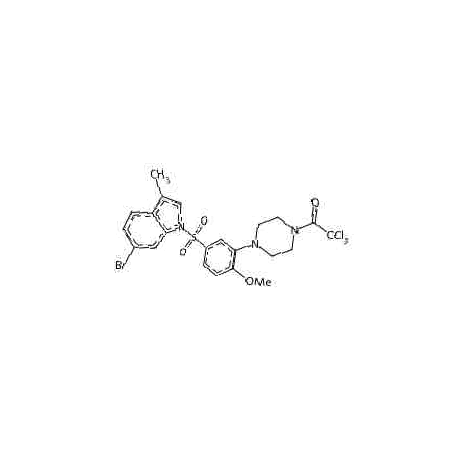 COc1ccc(S(=O)(=O)n2cc(C)c3ccc(Br)cc32)cc1N1CCN(C(=O)C(Cl)(Cl)Cl)CC1